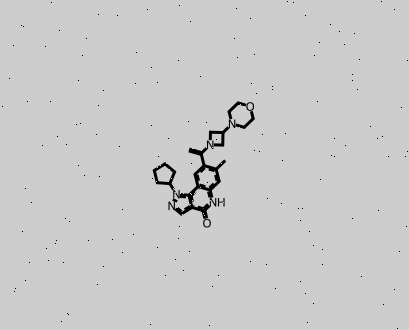 C=C(c1cc2c(cc1C)[nH]c(=O)c1cnn(C3CCCC3)c12)N1CC(N2CCOCC2)C1